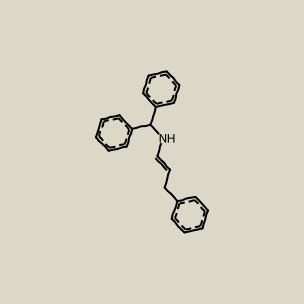 C(=CNC(c1ccccc1)c1ccccc1)Cc1ccccc1